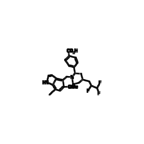 COc1cc(C)c2[nH]ccc2c1CN1CCC(CC(F)C(F)F)CC1c1ccc(C(=O)O)cc1